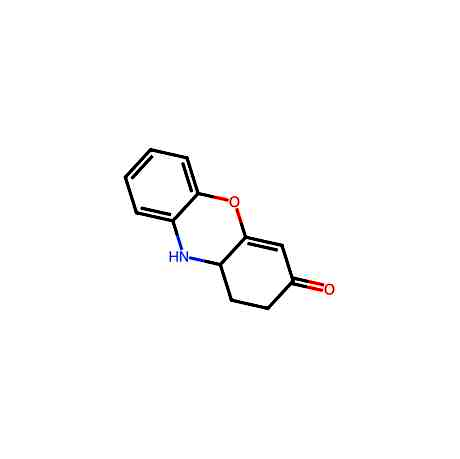 O=C1C=C2Oc3ccccc3NC2CC1